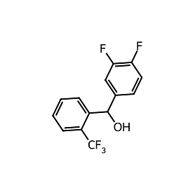 OC(c1ccc(F)c(F)c1)c1ccccc1C(F)(F)F